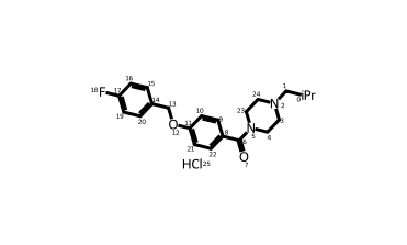 CC(C)CN1CCN(C(=O)c2ccc(OCc3ccc(F)cc3)cc2)CC1.Cl